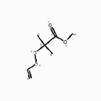 C=CSOC(C)(C)C(=O)OC